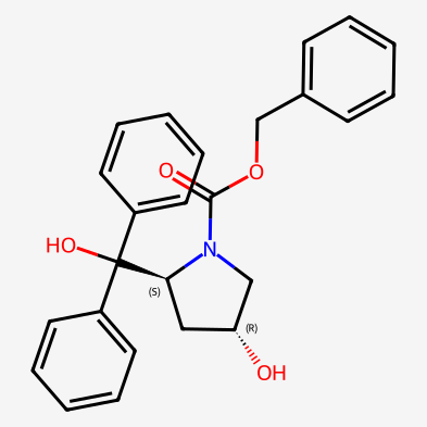 O=C(OCc1ccccc1)N1C[C@H](O)C[C@H]1C(O)(c1ccccc1)c1ccccc1